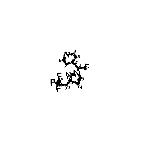 FC(c1ccncc1)n1ccc(CC(F)(F)F)n1